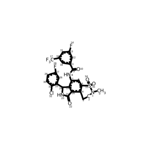 CN1CCc2c(cc(NC(=O)c3cc(F)cc(C(F)(F)F)c3)c3c2C(=O)NC3c2cc(F)ccc2Cl)S1(=O)=O